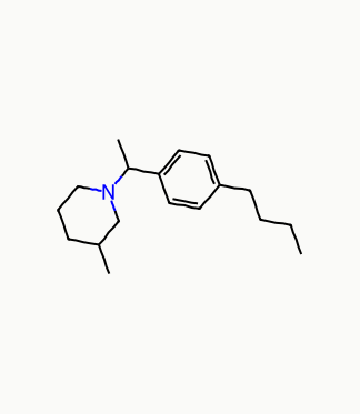 CCCCc1ccc(C(C)N2CCCC(C)C2)cc1